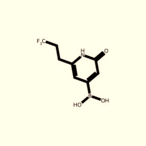 O=c1cc(B(O)O)cc(CCC(F)(F)F)[nH]1